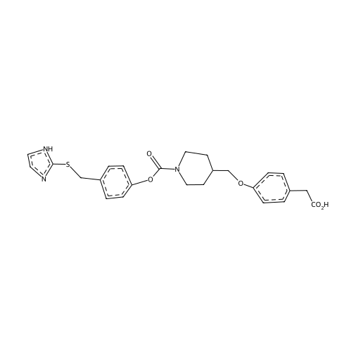 O=C(O)Cc1ccc(OCC2CCN(C(=O)Oc3ccc(CSc4ncc[nH]4)cc3)CC2)cc1